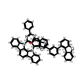 c1ccc(-c2nc(-c3ccccc3)nc(-n3c4ccccc4c4ccc5c6ccccc6n(-c6cccc7nc(-c8cccc(-c9cccc%10oc%11ccccc%11c9%10)c8)oc67)c5c43)n2)cc1